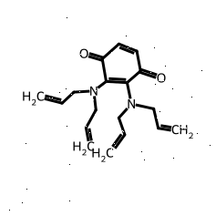 C=CCN(CC=C)C1=C(N(CC=C)CC=C)C(=O)C=CC1=O